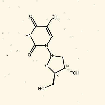 Cc1cn(N2C[C@H](O)[C@@H](CO)O2)c(=O)[nH]c1=O